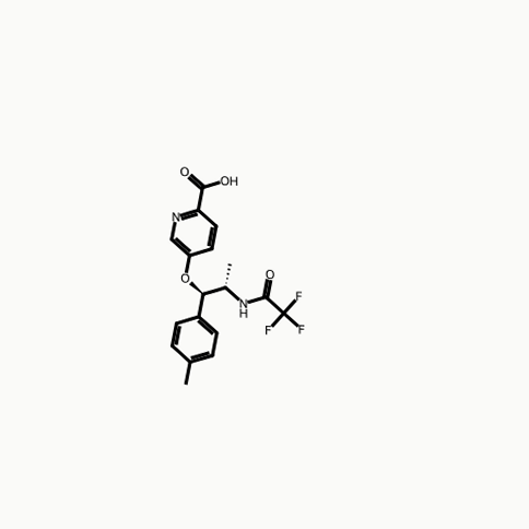 Cc1ccc([C@@H](Oc2ccc(C(=O)O)nc2)[C@H](C)NC(=O)C(F)(F)F)cc1